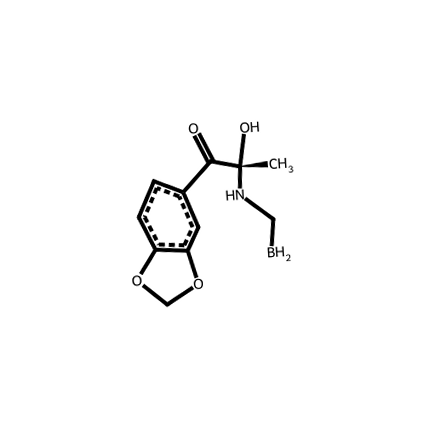 BCN[C@@](C)(O)C(=O)c1ccc2c(c1)OCO2